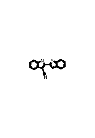 N#CC1=C(c2cc3ccccc3s2)[N]c2ccccc21